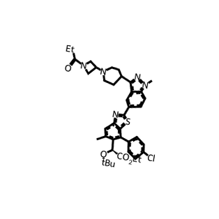 CCOC(=O)[C@@H](OC(C)(C)C)c1c(C)cc2nc(-c3ccc4c(c3)c(C3CCN(C5CN(C(=O)CC)C5)CC3)nn4C)sc2c1-c1ccc(Cl)cc1